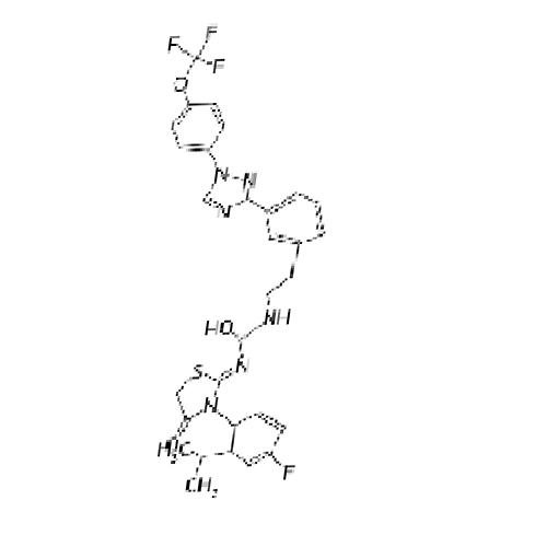 CC(C)c1cc(F)ccc1N1C(=O)CS/C1=N\C(O)NCCc1cccc(-c2ncn(-c3ccc(OC(F)(F)F)cc3)n2)c1